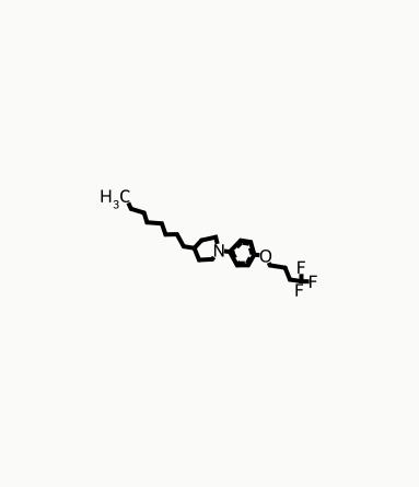 CCCCCCCCC1CCN(c2ccc(OCCCC(F)(F)F)cc2)CC1